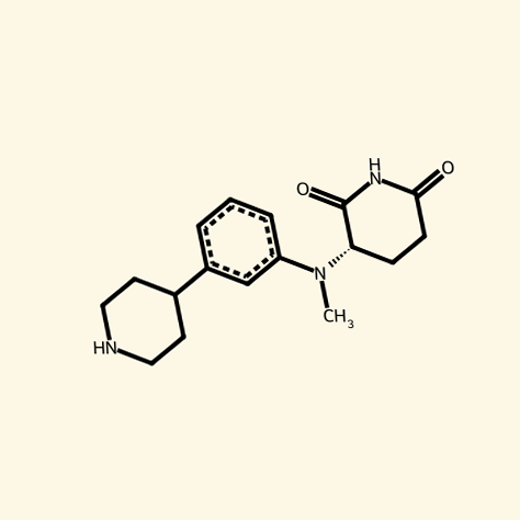 CN(c1cccc(C2CCNCC2)c1)[C@H]1CCC(=O)NC1=O